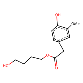 COc1cc(CC(=O)OCCCCO)ccc1O